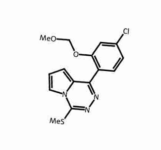 COCOc1cc(Cl)ccc1-c1nnc(SC)n2cccc12